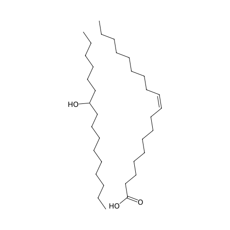 CCCCCCCC/C=C\CCCCCCCC(=O)O.CCCCCCCCCC(O)CCCCCC